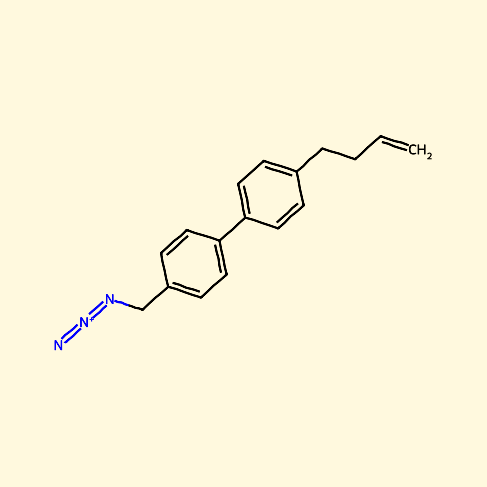 C=CCCc1ccc(-c2ccc(CN=[N+]=[N-])cc2)cc1